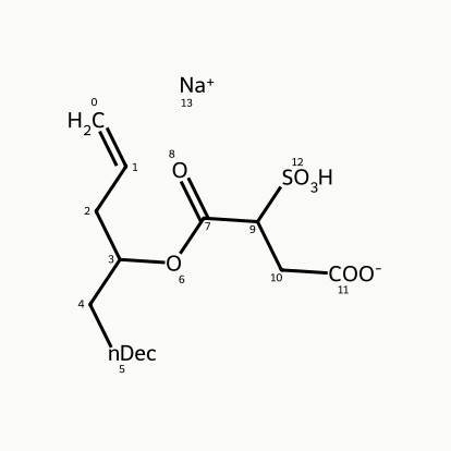 C=CCC(CCCCCCCCCCC)OC(=O)C(CC(=O)[O-])S(=O)(=O)O.[Na+]